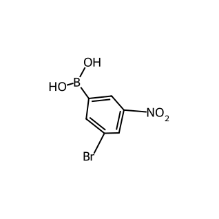 O=[N+]([O-])c1cc(Br)cc(B(O)O)c1